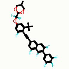 CC1COC(C(F)(F)Oc2cc(F)c(C#Cc3cc(F)c4c(F)c(-c5cc(F)c(F)c(F)c5)c(F)cc4c3)c(C(C)(C)C)c2)OC1